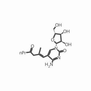 CCCC(=O)C/C(C)=C/c1cn([C@@H]2O[C@H](CO)[C@@H](O)[C@H]2O)c(=O)nc1N